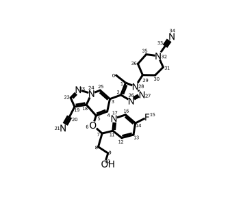 Cc1c(-c2cc(OC(CCO)c3ccc(F)cn3)c3c(C#N)cnn3c2)nnn1C1CCN(C#N)CC1